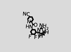 N#Cc1ccc(C(=O)Nc2cc(F)c(F)c([C@@]3(CF)N=C(N)O[C@@H]4C[C@@H]43)c2)nc1